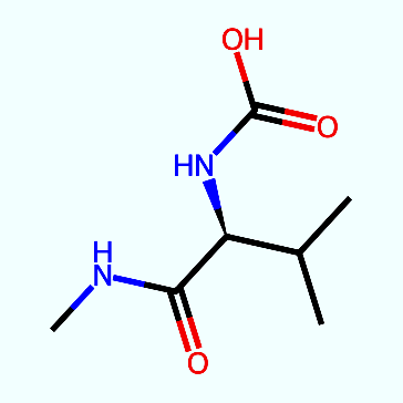 CNC(=O)[C@@H](NC(=O)O)C(C)C